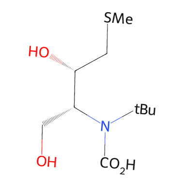 CSC[C@@H](O)[C@@H](CO)N(C(=O)O)C(C)(C)C